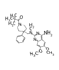 COc1cc2nc(N(C)CC3(c4ccccc4)CCN(C(=O)C(C)(C)C)CC3)nc(N)c2cc1OC